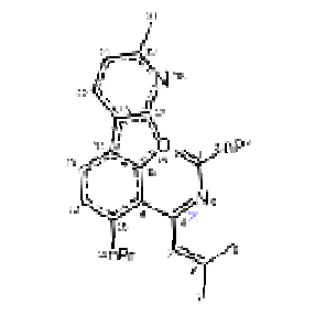 C=C(CCC)/N=C(/C=C(C)C)c1c(CCC)ccc2c1oc1nc(C)ccc12